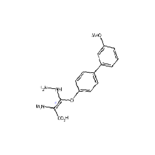 COc1cccc(-c2ccc(O/C(NN)=C(/N)C(=O)O)cc2)c1